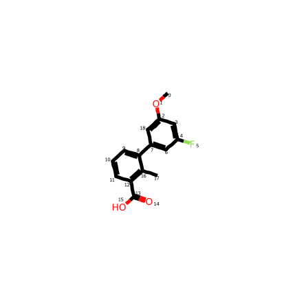 COc1cc(F)cc(-c2cccc(C(=O)O)c2C)c1